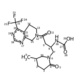 CC1CCC(=O)N(CC(CC(=O)N2CCc3c(ncnc3C(F)(F)F)C2)NC(=O)O)C1